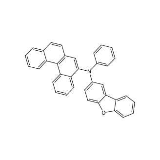 c1ccc(N(c2ccc3oc4ccccc4c3c2)c2cc3ccc4ccccc4c3c3ccccc23)cc1